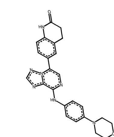 O=C1CCc2cc(-c3cnc(Nc4ccc(N5CCOCC5)cc4)c4ncnn34)ccc2N1